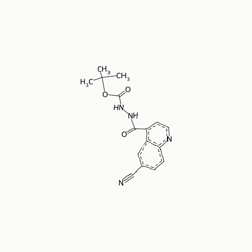 CC(C)(C)OC(=O)NNC(=O)c1ccnc2ccc(C#N)cc12